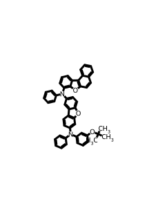 CC(C)(C)Oc1cccc(N(c2ccccc2)c2ccc3c(c2)oc2ccc(N(c4ccccc4)c4cccc5c4oc4ccc6ccccc6c45)cc23)c1